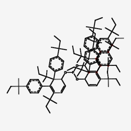 CCC(C)(C)C1=C(c2ccc(C(C)(C)CC)cc2)C(c2ccc(C(C)(C)CC)cc2)(C(C)(C)CC)C(OP(OC2C=CC(C(C)(C)CC)=C(c3ccc(C(C)(C)CC)cc3)C2(c2ccc(C(C)(C)CC)cc2)C(C)(C)CC)OC2C=CC(C(C)(C)CC)=C(c3ccc(C(C)(C)CC)cc3)C2(c2ccc(C(C)(C)CC)cc2)C(C)(C)CC)C=C1